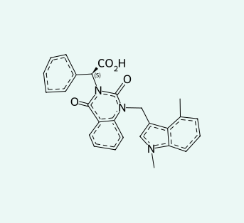 Cc1cccc2c1c(Cn1c(=O)n([C@H](C(=O)O)c3ccccc3)c(=O)c3ccccc31)cn2C